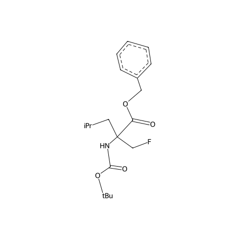 CC(C)CC(CF)(NC(=O)OC(C)(C)C)C(=O)OCc1ccccc1